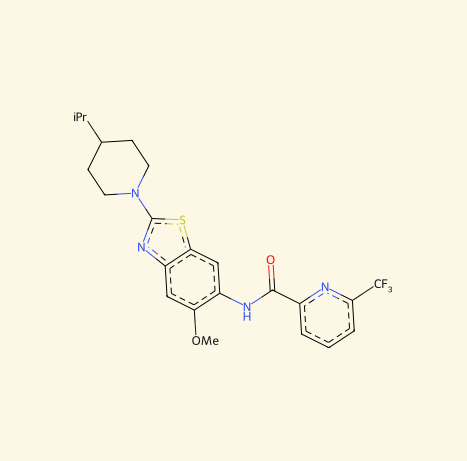 COc1cc2nc(N3CCC(C(C)C)CC3)sc2cc1NC(=O)c1cccc(C(F)(F)F)n1